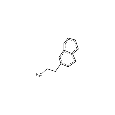 C[CH]Cc1ccc2ccccc2c1